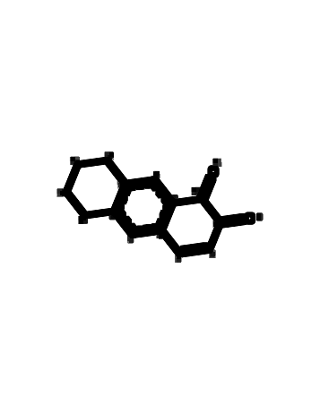 O=C1C=Cc2cc3c(cc2C1=O)CCCC3